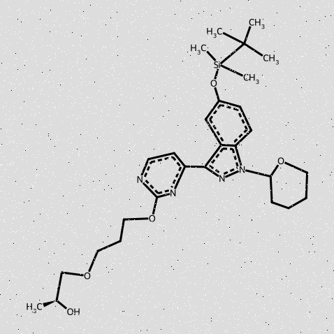 C[C@H](O)COCCCOc1nccc(-c2nn(C3CCCCO3)c3ccc(O[Si](C)(C)C(C)(C)C)cc23)n1